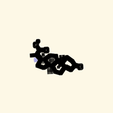 COC(=O)/C(C)=C1/CC[C@H]2[C@@H]3CCC4=CC(=O)CC[C@]4(C)[C@H]3CC[C@]12C